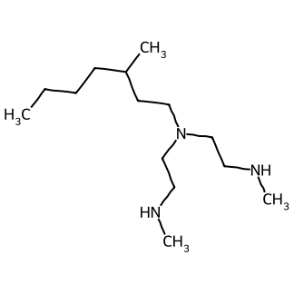 CCCCC(C)CCN(CCNC)CCNC